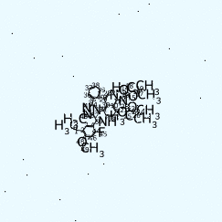 CCc1cc(C(Nc2ccc3c(N(C(=O)OC(C)(C)C)C(=O)OC(C)(C)C)nccc3c2)c2nc(-c3ccccc3)nn2C)c(F)cc1OC